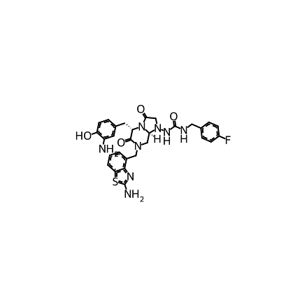 Nc1nc2c(CN3C[C@@H]4N(NC(=O)NCc5ccc(F)cc5)CC(=O)N4[C@@H](Cc4ccc(O)c(N)c4)C3=O)cccc2s1